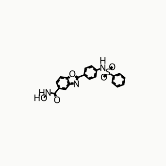 O=C(NO)c1ccc2oc(-c3ccc(NS(=O)(=O)c4ccccc4)cc3)nc2c1